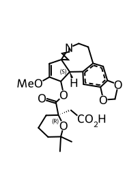 COC1=CC23CCCN2CCc2cc4c(cc2[C@@H]3C1OC(=O)[C@]1(CC(=O)O)CCCC(C)(C)O1)OCO4